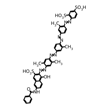 Cc1cc(N=Nc2cc(C)c(N=Nc3c(S(=O)(=O)O)cc4cc(NC(=O)c5ccccc5)ccc4c3O)cc2C)ccc1N=Nc1ccc(N=Nc2ccc(S(=O)(=O)O)cc2S(=O)(=O)O)c(C)c1